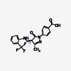 CC1=NN(c2ccc(C(=O)O)cc2)C(=O)/C1=C\Nc1ccccc1C(F)(F)F